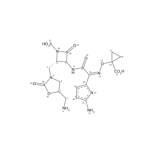 NCC1CN(C[C@H]2C(NC(=O)/C(=N\OC3(C(=O)O)CC3)c3csc(N)n3)C(=O)N2S(=O)(=O)O)C(=O)O1